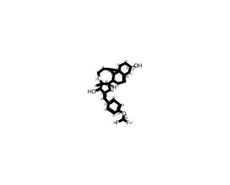 CC12CCCC3C4C(CC=C5C[C@@H](O)CCC534)[C@@H]1C/C(=C\c1ccc(OC(F)F)cc1)C2O